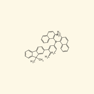 C=C/C(=C\C(=C/C)B(c1c(C)ccc2ccccc12)c1c(C)ccc2ccccc12)c1ccc2c(c1)C(C)(C)c1ccccc1-2